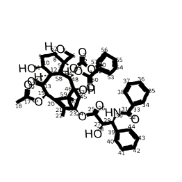 COC(=O)O[C@@]12CO[C@@H]1C[C@H](O)[C@@H]1C(=O)[C@H](OC(C)=O)C3=C(C)[C@@H](OC(=O)[C@H](O)[C@@H](NC(=O)c4ccccc4)c4ccccc4)C[C@@](O)([C@@H](OC(=O)c4ccccc4)[C@@H]12)C3(C)C